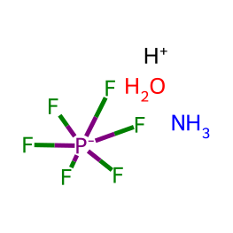 F[P-](F)(F)(F)(F)F.N.O.[H+]